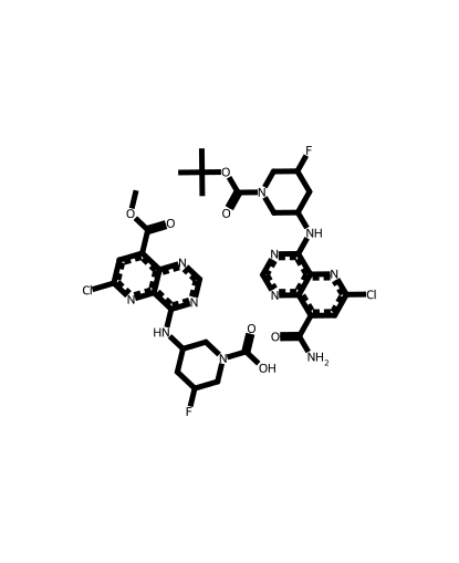 CC(C)(C)OC(=O)N1CC(F)CC(Nc2ncnc3c(C(N)=O)cc(Cl)nc23)C1.COC(=O)c1cc(Cl)nc2c(NC3CC(F)CN(C(=O)O)C3)ncnc12